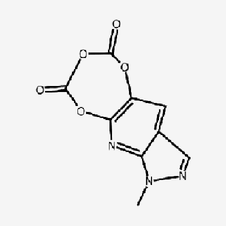 Cn1ncc2cc3c(nc21)OC(=O)OC(=O)O3